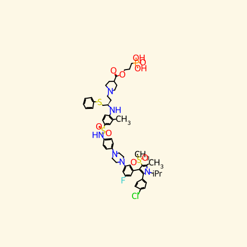 Cc1cc(S(=O)(=O)Nc2ccc(N3CCN(c4cc(F)cc(-c5c(S(C)(=O)=O)c(C)n(C(C)C)c5-c5ccc(Cl)cc5)c4)CC3)cc2)ccc1N[C@H](CCN1CCC(C(=O)OCCCP(=O)(O)O)CC1)CSc1ccccc1